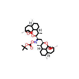 C[C@H]1[C@@H](/C(C[C@H]2O[C@@H]3C[C@]4(C)CC[C@H]5[C@H](C)CC[C@@H]([C@H]2C)[C@@]35OO4)=N\OC(=O)OC(C)(C)C)O[C@@H]2C[C@]3(C)CC[C@H]4[C@H](C)CC[C@@H]1[C@@]24OO3